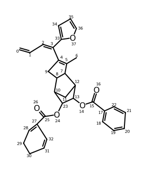 C=C/C=C(\C1=C(C)C2C(C1)C1CC2C(OC(=O)c2ccccc2)C1OC(=O)C1=CCCC=C1)c1ccco1